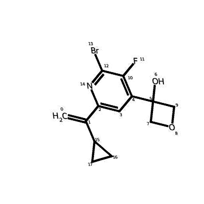 C=C(c1cc(C2(O)COC2)c(F)c(Br)n1)C1CC1